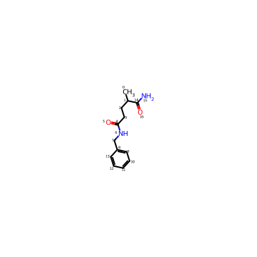 CC(CCC(=O)NCc1ccccc1)C(N)=O